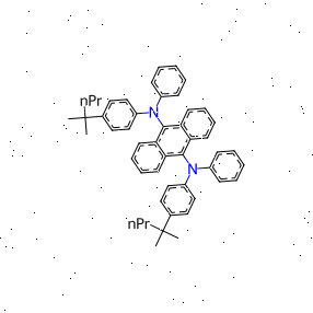 CCCC(C)(C)c1ccc(N(c2ccccc2)c2c3ccccc3c(N(c3ccccc3)c3ccc(C(C)(C)CCC)cc3)c3ccccc23)cc1